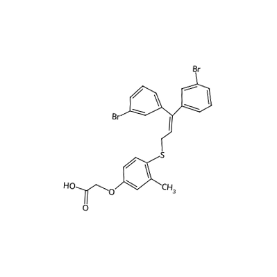 Cc1cc(OCC(=O)O)ccc1SCC=C(c1cccc(Br)c1)c1cccc(Br)c1